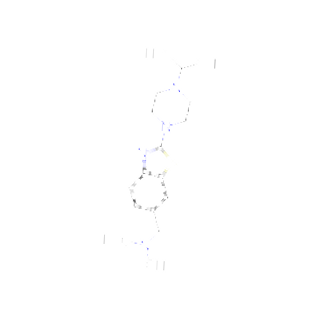 CC(C)N1CCN(c2nc3ccc(CN(C)C)cc3s2)CC1